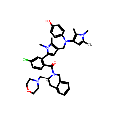 Cc1c(N(Cc2cc(-c3cc(Cl)ccc3C(=O)N3Cc4ccccc4C[C@H]3CN3CCOCC3)n(C)c2C)c2ccc(O)cc2)cc(C#N)n1C